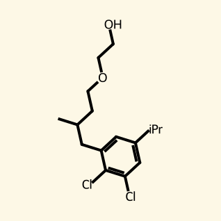 CC(CCOCCO)Cc1cc(C(C)C)cc(Cl)c1Cl